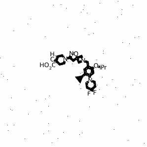 CC(C)Oc1cc(N2CCC(F)(F)CC2)c(C2CC2)cc1CN1CC2(CC(N3CCC(C)(C(=O)O)CC3)=NO2)C1